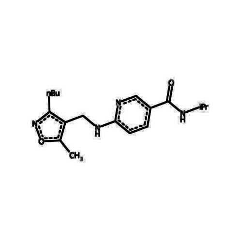 CCCCc1noc(C)c1CNc1ccc(C(=O)NC(C)C)cn1